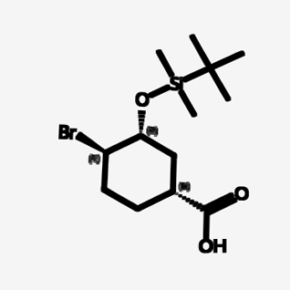 CC(C)(C)[Si](C)(C)O[C@@H]1C[C@H](C(=O)O)CC[C@H]1Br